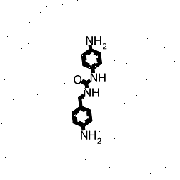 Nc1ccc(CNC(=O)Nc2ccc(N)cc2)cc1